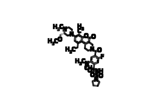 CCc1cc(N2CCN(C)[C@@H](COC)C2)c(C)c2oc(=O)c3c(c12)CCN(C(=O)c1cc(N(C)C)c(C(=O)NS(=O)(=O)N2CCCC2)cc1F)C3